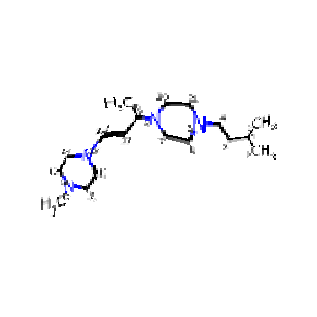 CC(C)CCN1CCN(C(C)CCN2CCN(C)CC2)CC1